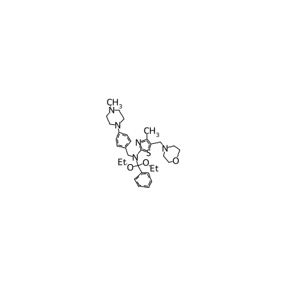 CCOC(OCC)(c1ccccc1)N(Cc1ccc(N2CCN(C)CC2)cc1)c1nc(C)c(CN2CCOCC2)s1